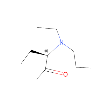 CCCN(CC)[C@H](CC)C(C)=O